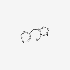 Brc1nccn1Cc1ccncc1